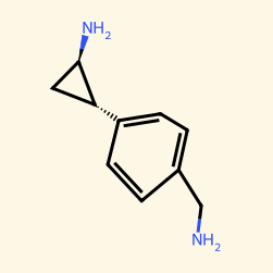 NCc1ccc([C@@H]2C[C@H]2N)cc1